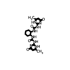 Cc1cc(=O)nc(NC(=O)NC2CCCCC2NC(=O)Nc2nc(=O)cc(C)[nH]2)[nH]1